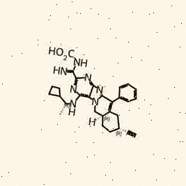 C#C[C@@H]1CC[C@H]2Cn3c(nc4nc(C(=N)NC(=O)O)nc(N[C@H](C)C5CCC5)c43)C(c3ccccc3)=C2C1